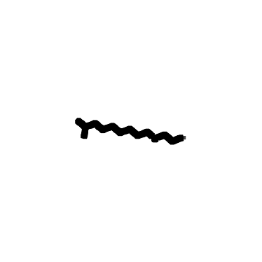 [CH2]CCOCCCCCCCC(C)C